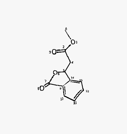 COC(=O)CC1OC(=O)c2ccccc21